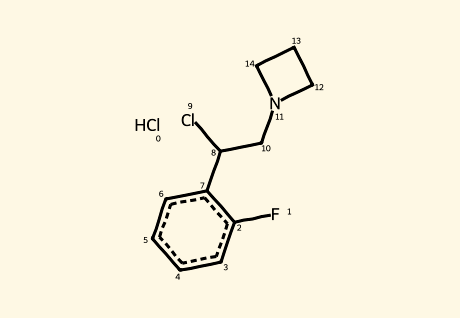 Cl.Fc1ccccc1C(Cl)CN1CCC1